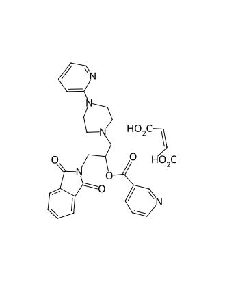 O=C(O)/C=C\C(=O)O.O=C(OC(CN1CCN(c2ccccn2)CC1)CN1C(=O)c2ccccc2C1=O)c1cccnc1